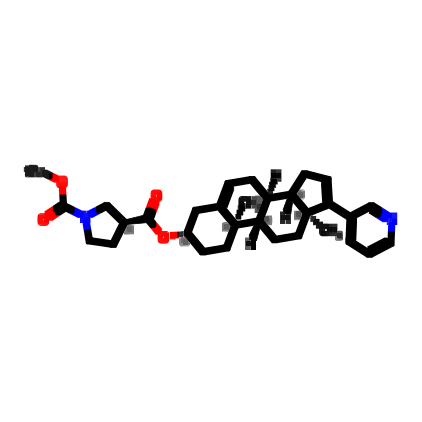 CC(C)(C)OC(=O)N1CC[C@H](C(=O)O[C@H]2CC[C@@]3(C)C(=CC[C@@H]4[C@@H]3CC[C@]3(C)C(c5cccnc5)=CC[C@@H]43)C2)C1